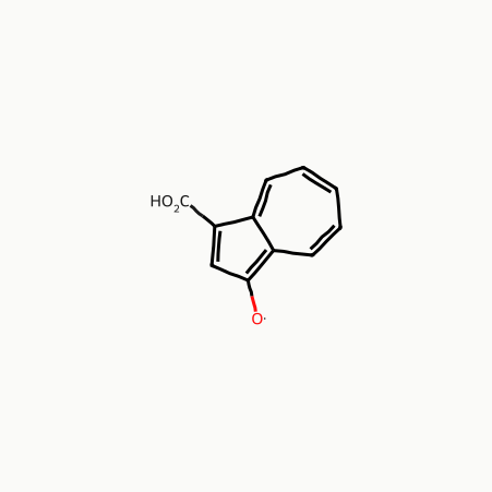 [O]c1cc(C(=O)O)c2cccccc1-2